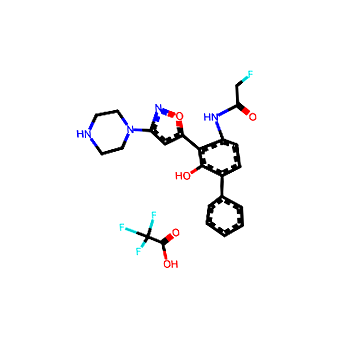 O=C(CF)Nc1ccc(-c2ccccc2)c(O)c1-c1cc(N2CCNCC2)no1.O=C(O)C(F)(F)F